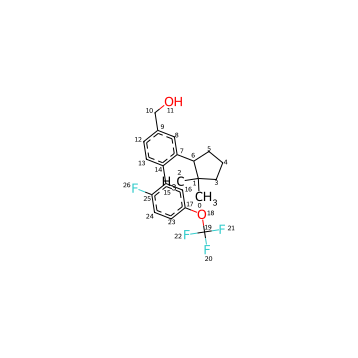 CC1(C)CCCC1c1cc(CO)ccc1-c1cc(OC(F)(F)F)ccc1F